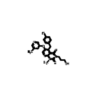 Cc1cncc(Oc2cnc3c(c2Cc2ccc(Cl)cc2)c(=O)n(CCCO)c(=O)n3C)c1